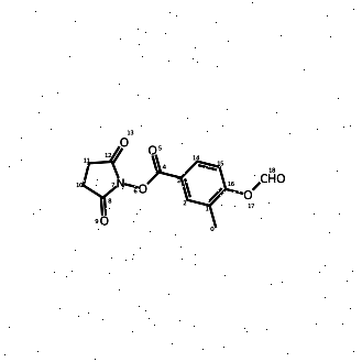 Cc1cc(C(=O)ON2C(=O)CCC2=O)ccc1OC=O